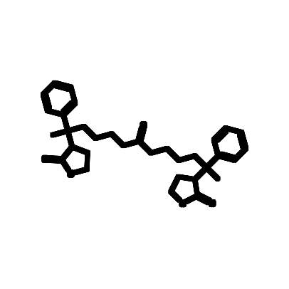 CC(CCCCC(=O)CCCCC(C)(c1ccccc1)C1CCOC1=O)(c1ccccc1)C1CCOC1=O